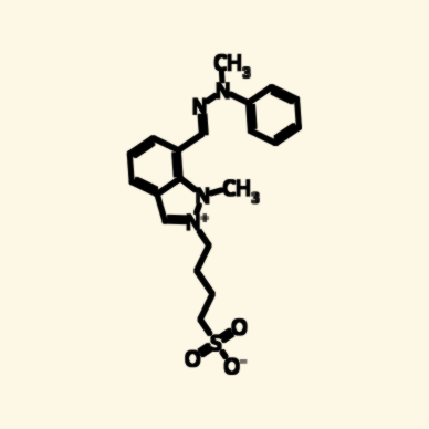 CN(N=Cc1cccc2c[n+](CCCCS(=O)(=O)[O-])n(C)c12)c1ccccc1